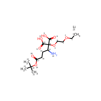 CCOCCOC(C(=O)O)(C(=O)O)C(N)CCC(=O)OC(C)(C)C.[Li]